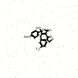 COc1ccc(C2(O)OC(=O)C(C3=CCOO3)=C2Cc2cccc(C(F)(F)F)c2)cc1